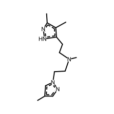 Cc1cnn(CCN(C)CCc2[nH]nc(C)c2C)c1